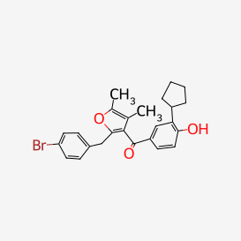 Cc1oc(Cc2ccc(Br)cc2)c(C(=O)c2ccc(O)c(C3CCCC3)c2)c1C